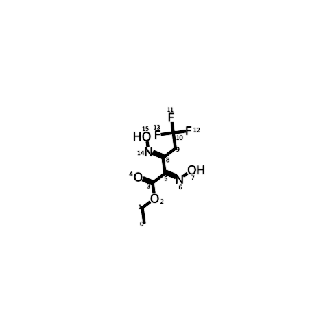 CCOC(=O)C(=NO)C(CC(F)(F)F)=NO